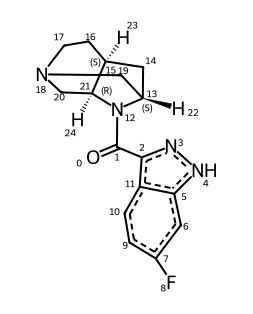 O=C(c1n[nH]c2cc(F)ccc12)N1[C@H]2C[C@@H]3CCN(C2)C[C@@H]31